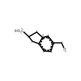 CCOC(=O)C1Cc2ccc(CCl)cc2C1